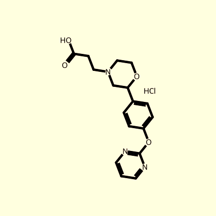 Cl.O=C(O)CCN1CCOC(c2ccc(Oc3ncccn3)cc2)C1